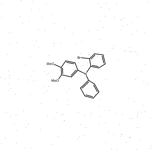 COc1ccc(N(c2ccccc2)c2ccccc2Br)cc1OC